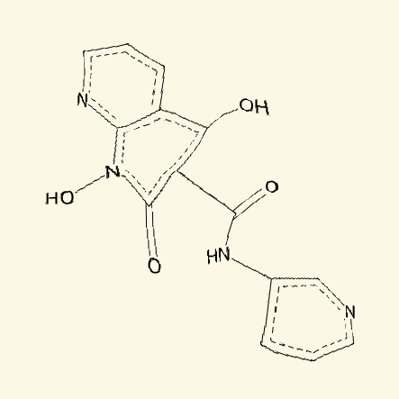 O=C(Nc1cccnc1)c1c(O)c2cccnc2n(O)c1=O